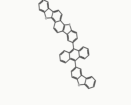 c1ccc2c(c1)oc1ccc(-c3c4ccccc4c(-c4ccc5sc6c(ccc7c6ccc6c8ccccc8oc67)c5c4)c4ccccc34)cc12